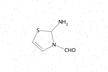 NC1SC=CN1C=O